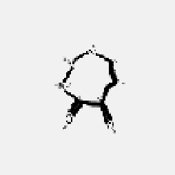 O=C1CCS[N]NC1=O